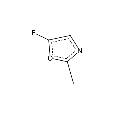 Cc1ncc(F)o1